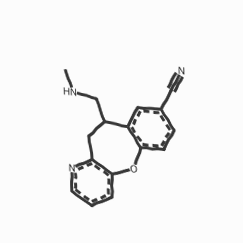 CNCC1Cc2ncccc2Oc2ccc(C#N)cc21